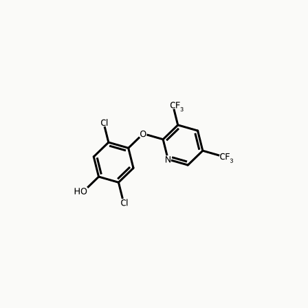 Oc1cc(Cl)c(Oc2ncc(C(F)(F)F)cc2C(F)(F)F)cc1Cl